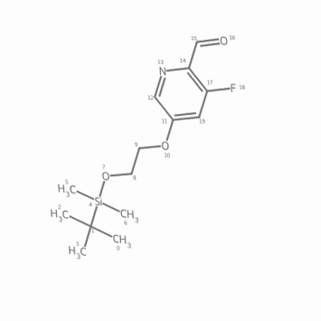 CC(C)(C)[Si](C)(C)OCCOc1cnc(C=O)c(F)c1